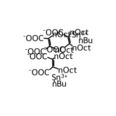 CCCCCCCC/C(C(=O)[O-])=C(\CCCCCCCC)C(=O)[O-].CCCCCCCC/C(C(=O)[O-])=C(\CCCCCCCC)C(=O)[O-].CCCCCCCC/C(C(=O)[O-])=C(\CCCCCCCC)C(=O)[O-].CCC[CH2][Sn+3].CCC[CH2][Sn+3]